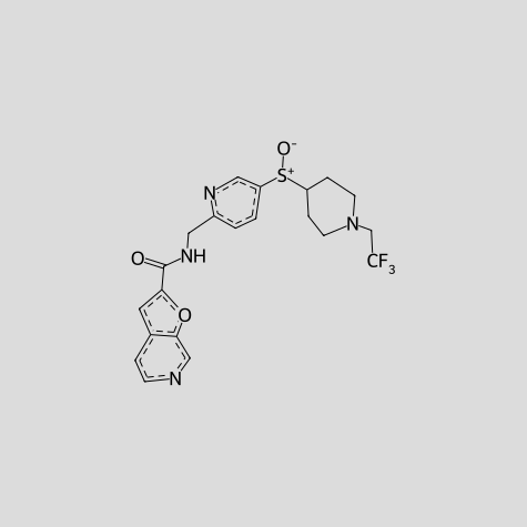 O=C(NCc1ccc([S+]([O-])C2CCN(CC(F)(F)F)CC2)cn1)c1cc2ccncc2o1